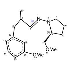 COC[C@@H]1CCCN1/N=C/C(C)Cc1cccc(OC)c1